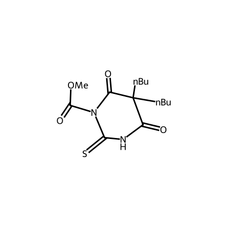 CCCCC1(CCCC)C(=O)NC(=S)N(C(=O)OC)C1=O